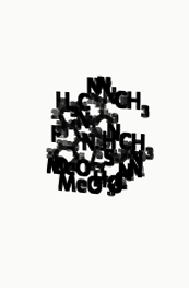 COC(=O)C1=C(OC)c2c(c3ncc(-c4c(C)nnn4C)cc3n2C(c2ncccc2F)C2CCOCC2)[SH]1c1c(C)nnn1C